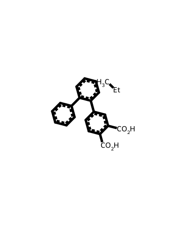 CCC.O=C(O)c1ccc(-c2ccccc2-c2ccccc2)cc1C(=O)O